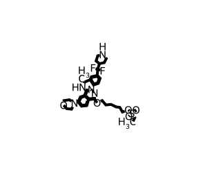 CCS(=O)(=O)OCCCCCCOc1nnc(NC(C)c2cccc(C(F)(F)C3CCNCC3)c2)c2cc(N3CCOCC3)ccc12